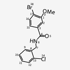 COc1cc(C(=O)NCc2ccccc2Cl)ccc1Br